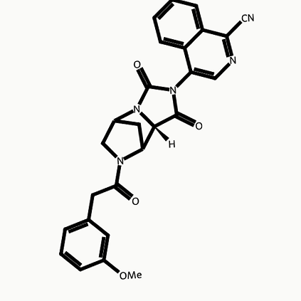 COc1cccc(CC(=O)N2CC3CC2[C@H]2C(=O)N(c4cnc(C#N)c5ccccc45)C(=O)N32)c1